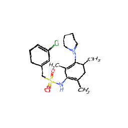 CC1=C(NS(=O)(=O)CC2=CC(Cl)=CCC2)C(C)=C(N2CCCC2)C(C)C1